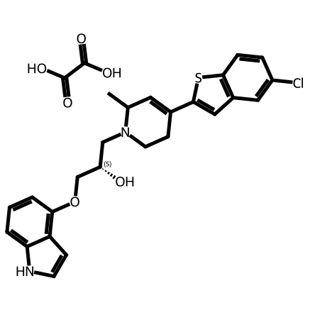 CC1C=C(c2cc3cc(Cl)ccc3s2)CCN1C[C@H](O)COc1cccc2[nH]ccc12.O=C(O)C(=O)O